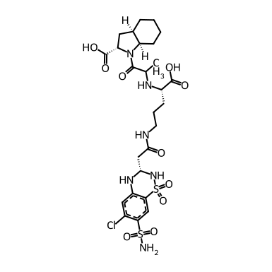 CC(N[C@@H](CCCNC(=O)C[C@H]1Nc2cc(Cl)c(S(N)(=O)=O)cc2S(=O)(=O)N1)C(=O)O)C(=O)N1[C@@H]2CCCC[C@@H]2C[C@H]1C(=O)O